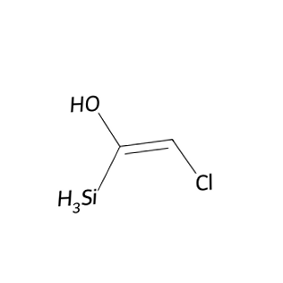 OC([SiH3])=CCl